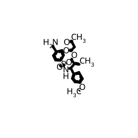 CC=C(COC(=O)CC(C)=O)C(NS(=O)(=O)c1ccc(CN)cc1)c1ccc(OC)cc1